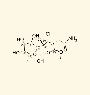 CO[C@H]1O[C@H](CO)[C@](O)([C@@H]2O[C@H](C)[C@H](O)[C@H](O)[C@H]2O)[C@H](O)[C@@H]1CC(N)=O